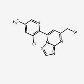 FC(F)(F)c1cnc(-c2cc(CBr)nc3ncnn23)c(Cl)c1